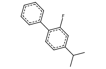 CC(C)c1ccc(-c2ccccc2)c(F)c1